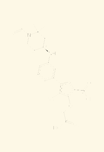 CC1(C)C[C@@H](Nc2cccc(-c3sc(C(=O)O)c(OCC(=O)O)c3Cl)c2)CCN1C=O